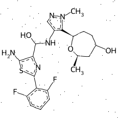 C[C@@H]1CC(O)CC[C@H](c2c(NC(O)c3nc(-c4c(F)cccc4F)sc3N)cnn2C)O1